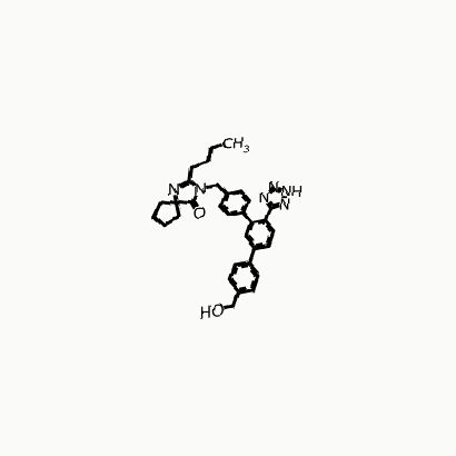 CCCCC1=NC2(CCCC2)C(=O)N1Cc1ccc(-c2cc(-c3ccc(CO)cc3)ccc2-c2nn[nH]n2)cc1